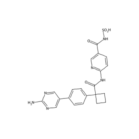 Nc1ncc(-c2ccc(C3(C(=O)Nc4ccc(C(=O)NS(=O)(=O)O)cn4)CCC3)cc2)cn1